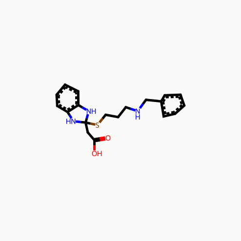 O=C(O)CC1(SCCCNCc2ccccc2)Nc2ccccc2N1